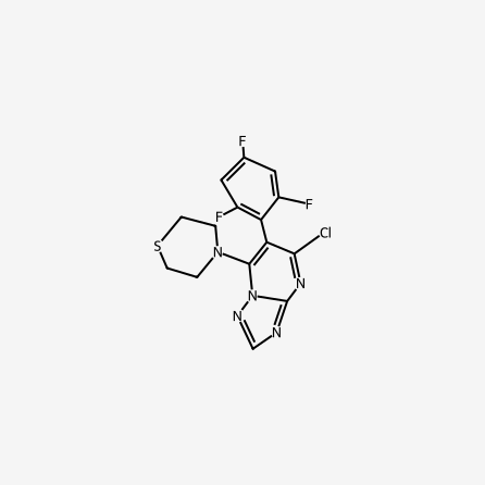 Fc1cc(F)c(-c2c(Cl)nc3ncnn3c2N2CCSCC2)c(F)c1